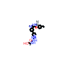 C=Cc1cccc([Si@H](C)NC(=O)c2cn(C)c3ccc(-c4ccn5nc(NC(=O)N[C@@H](C)CO)nc5c4)cc23)c1